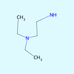 CCN(CC)CC[NH]